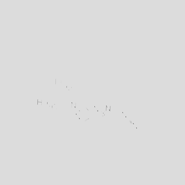 COCCN(CCOC)c1cc(N2CCN(C3CCN(C#N)C3)S2)ccn1